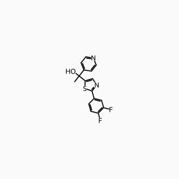 CC(O)(c1ccncc1)c1cnc(-c2ccc(F)c(F)c2)s1